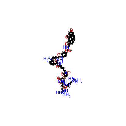 CC(CCCNC(=N)N)C(=O)NC(CCCNC(=N)N)C(=O)NC(CSC1CC(=O)N(CCCCCC(=O)NC(Cc2ccccc2)C(=O)N[C@@H](CCCCN)C(=O)Nc2ccc(COC(=O)NCC(=O)C3CC[C@H]4C5CCC6=CC(=O)CCC6(C)[C@H]5C(=O)CC34C)cc2)C1=O)C(N)=O